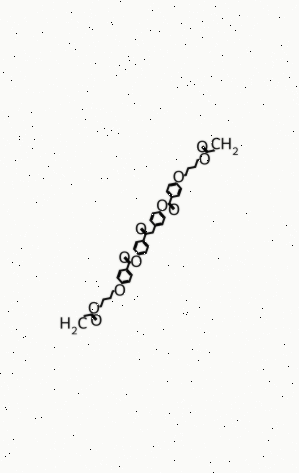 C=CC(=O)OCCCCOc1ccc(C(=O)Oc2ccc(CC(=O)c3ccc(OC(=O)c4ccc(OCCCCOC(=O)C=C)cc4)cc3)cc2)cc1